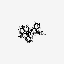 CC(C)(C)N(C(=O)O)c1cnccc1-c1nc2c(n1O)-c1ccncc1Nc1ncccc1-2